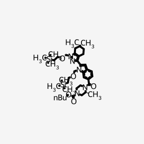 CCCCOC(=O)N1CCN(C(=O)c2ccc3cc(-c4nn(COCC[Si](C)(C)C)c5c4CCC(C)(C)C5)n(COCC[Si](C)(C)C)c3c2)[C@H](C)C1